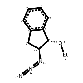 CCO[C@H]1c2ccccc2C[C@@H]1N=[N+]=[N-]